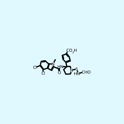 Cn1c(C(=O)NC2(c3ccc(C(=O)O)cc3)CCCN(SNC=O)C2)cc2c(Cl)c(Cl)ccc21